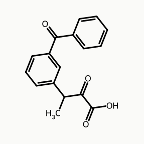 CC(C(=O)C(=O)O)c1cccc(C(=O)c2ccccc2)c1